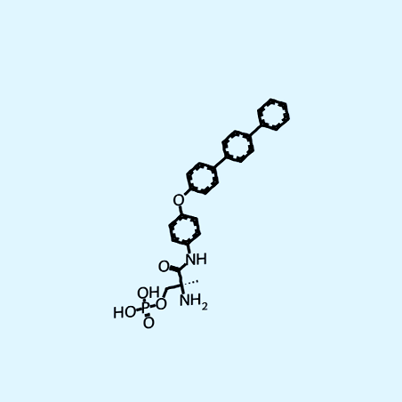 C[C@](N)(COP(=O)(O)O)C(=O)Nc1ccc(Oc2ccc(-c3ccc(-c4ccccc4)cc3)cc2)cc1